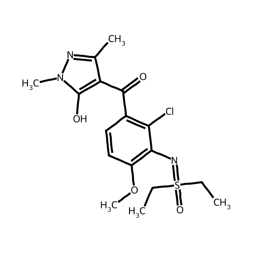 CCS(=O)(CC)=Nc1c(OC)ccc(C(=O)c2c(C)nn(C)c2O)c1Cl